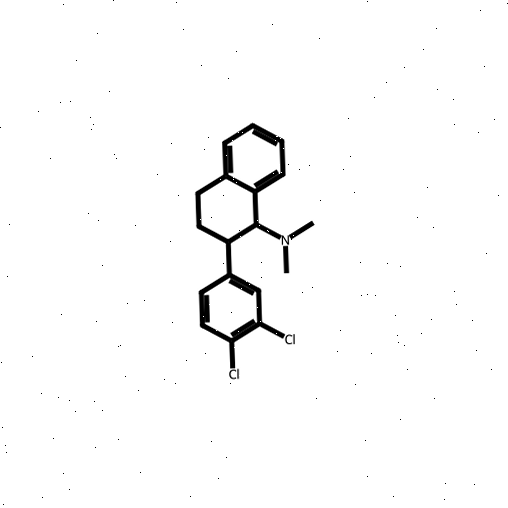 CN(C)C1c2ccccc2CCC1c1ccc(Cl)c(Cl)c1